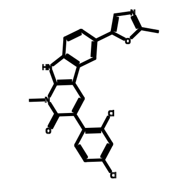 Cc1ncc(-c2ccc3[nH]c4c(cc(-c5ccc(Cl)cc5Cl)c(=O)n4C)c3c2)o1